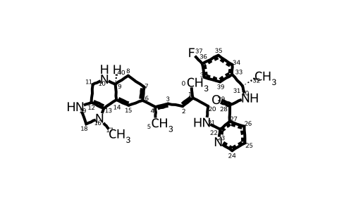 C/C(=C\C=C(/C)C1=CC[C@@H]2NCC3=C(C2=C1)N(C)CN3)CNc1ncccc1C(=O)N[C@@H](C)c1ccc(F)cc1